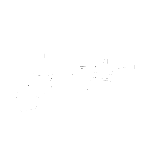 Cc1nc2cc(C(C)N3Cc4ccccc4C3)ccc2[nH]1